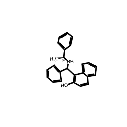 C[C@H](NC(c1ccccc1)c1c(O)ccc2ccccc12)c1ccccc1